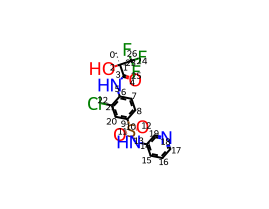 C[C@@](O)(C(=O)Nc1ccc(S(=O)(=O)Nc2cccnc2)cc1Cl)C(F)(F)F